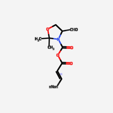 CCCCCCCCC/C=C/C(=O)OC(=O)N1C(C=O)COC1(C)C